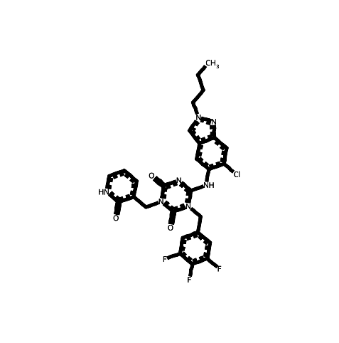 CCCCn1cc2cc(Nc3nc(=O)n(Cc4ccc[nH]c4=O)c(=O)n3Cc3cc(F)c(F)c(F)c3)c(Cl)cc2n1